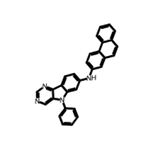 c1ccc(-n2c3cc(Nc4ccc5c(ccc6ccccc65)c4)ccc3c3ncncc32)cc1